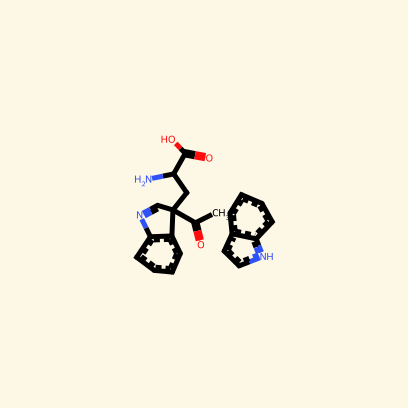 CC(=O)C1(CC(N)C(=O)O)C=Nc2ccccc21.c1ccc2[nH]ccc2c1